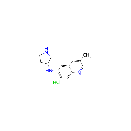 Cc1cnc2ccc(N[C@@H]3CCNC3)cc2c1.Cl